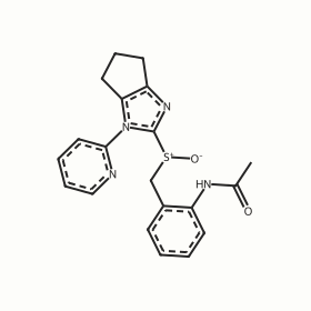 CC(=O)Nc1ccccc1C[S+]([O-])c1nc2c(n1-c1ccccn1)CCC2